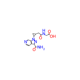 NC(=O)c1nn(C2CC2CC(=O)NCC(=O)O)c2cnccc12